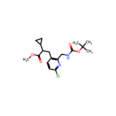 COC(=O)C(Cc1ccc(Cl)nc1CNC(=O)OC(C)(C)C)C1CC1